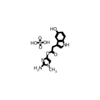 Cn1cc(OC(=O)Cc2c[nH]c3ccc(O)cc23)nc1N.O=S(=O)(O)O